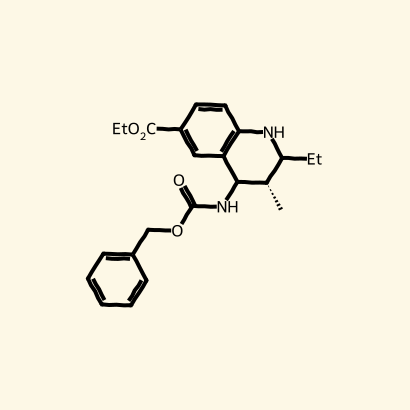 CCOC(=O)c1ccc2c(c1)C(NC(=O)OCc1ccccc1)[C@@H](C)C(CC)N2